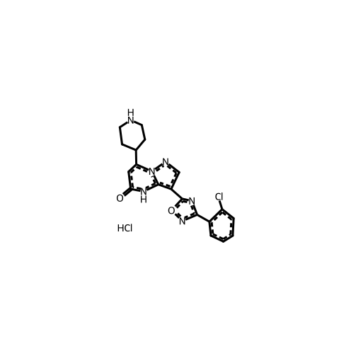 Cl.O=c1cc(C2CCNCC2)n2ncc(-c3nc(-c4ccccc4Cl)no3)c2[nH]1